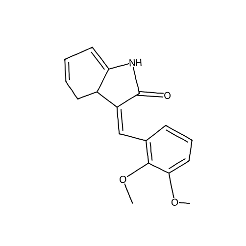 COc1cccc(C=C2C(=O)NC3=CC=CCC32)c1OC